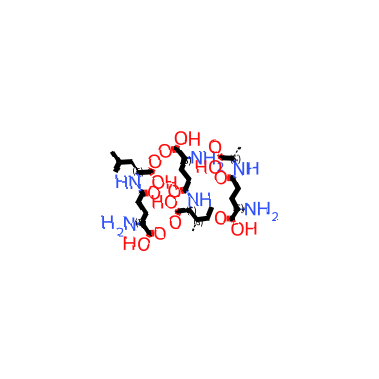 CC(C)C[C@H](NC(=O)CC[C@H](N)C(=O)O)C(=O)O.CC[C@H](C)[C@H](NC(=O)CC[C@H](N)C(=O)O)C(=O)O.C[C@H](NC(=O)CC[C@H](N)C(=O)O)C(=O)O